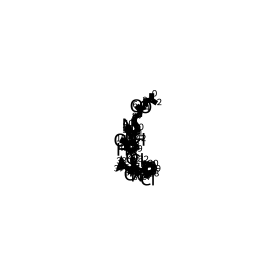 CC(C)COC(=O)CCc1ccc(N2C(=O)[C@@H]3C[C@H]2C[C@H]3OCc2c(-c3c(Cl)cccc3Cl)noc2C2CC2)cn1